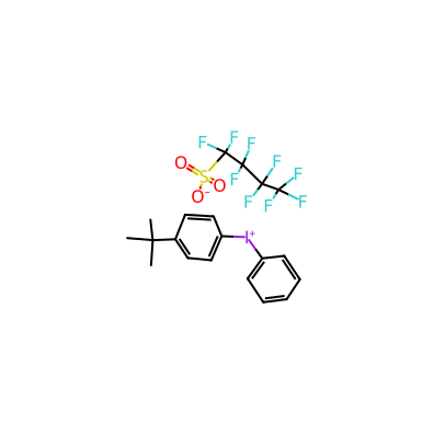 CC(C)(C)c1ccc([I+]c2ccccc2)cc1.O=S(=O)([O-])C(F)(F)C(F)(F)C(F)(F)C(F)(F)F